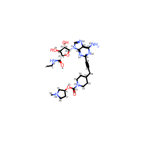 CCNC(=O)[C@H]1O[C@@H](n2cnc3c(N)nc(C#CCC4CCN(C(=O)OC5CCN(C)C5)CC4)nc32)[C@@H](O)C1O